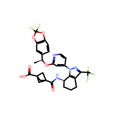 C[C@H](Oc1cc(-n2nc(C(F)(F)F)c3c2[C@H](NC(=O)C24CC(C(=O)O)(C2)C4)CCC3)ccn1)c1ccc2c(c1)OC(F)(F)O2